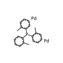 [CH2]c1ccccc1P(c1ccccc1C)c1ccccc1C.[Pd].[Pd]